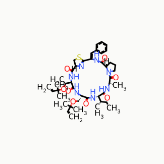 C=CC(C)(C)OC[C@@H]1NC(=O)C([C@@H](C)OC(C)(C)C=C)NC(=O)[C@@H]2CSC(=N2)/C(=C/c2ccccc2)NC(=O)[C@@H]2CCCN2C(=O)[C@H](C)NC(=O)[C@H]([C@@H](C)CC)NC1=O